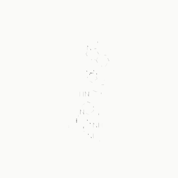 COC(=O)/C(=C/N)N(N)c1ncc(NC(=O)c2cnn(-c3cccc4c(OC)nccc34)c2C(F)(F)F)cc1Cl